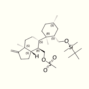 C=C1CC[C@H]2[C@H](COS(C)(=O)=O)[C@@H]([C@@]3(C)CC[C@H](C)C[C@@H]3CO[Si](C)(C)C(C)(C)C)CC[C@]12C